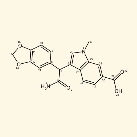 Cn1cc(C(C(N)=O)c2ccc3c(c2)OCO3)c2ccc(C(=O)O)cc21